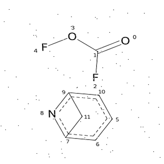 O=C(F)OF.c1cc2nc(c1)C2